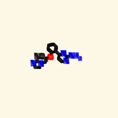 Nc1nccc(-c2ccccc2OCCn2ccnc2[N+](=O)[O-])n1